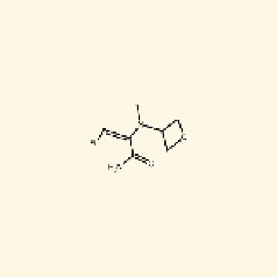 CCC=C(C(N)=O)N(C)C1COC1